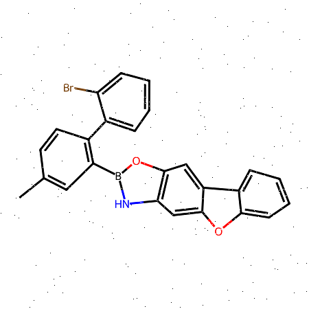 Cc1ccc(-c2ccccc2Br)c(B2Nc3cc4oc5ccccc5c4cc3O2)c1